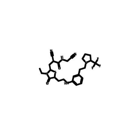 CCN1C(=O)C(CCNc2cccc(CCN3CCCC3C(F)(F)F)c2)SC1CC(C#N)C(=O)NCC#N